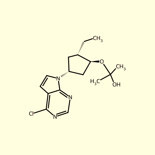 CC[C@H]1C[C@@H](n2ccc3c(Cl)ncnc32)C[C@@H]1OC(C)(C)O